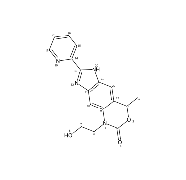 CC1OC(=O)N(CCO)c2cc3nc(-c4ccccn4)[nH]c3cc21